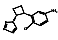 Nc1ccc(Cl)c([C@@H]2CC[C@@H]2n2ccnn2)c1